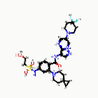 O=C(Nc1cnn2cc(N3CCC(F)(F)CC3)cnc12)c1ccc(NS(=O)(=O)CCO)cc1N1CCC2(CC1)CC2